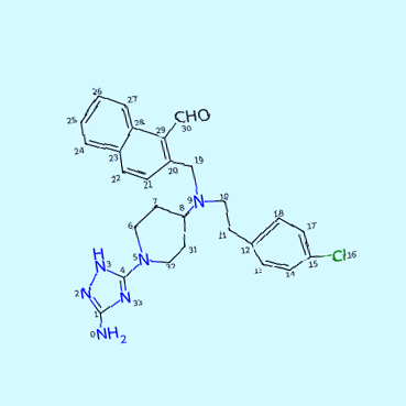 Nc1n[nH]c(N2CCC(N(CCc3ccc(Cl)cc3)Cc3ccc4ccccc4c3C=O)CC2)n1